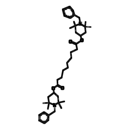 CC1(C)CC(OC(=O)CCCCCCCCC(=O)OC2CC(C)(C)N(Cc3ccccc3)C(C)(C)C2)CC(C)(C)N1Cc1ccccc1